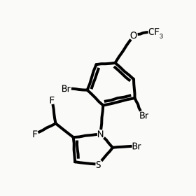 FC(F)C1=CSC(Br)N1c1c(Br)cc(OC(F)(F)F)cc1Br